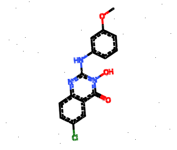 COc1cccc(Nc2nc3ccc(Cl)cc3c(=O)n2O)c1